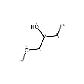 [CH2]CC(O)COC